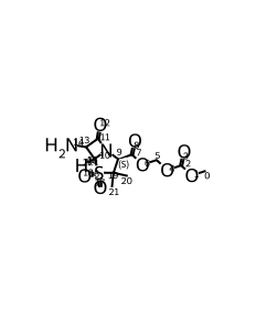 COC(=O)OCOC(=O)[C@@H]1N2C(=O)C(N)[C@H]2S(=O)(=O)C1(C)C